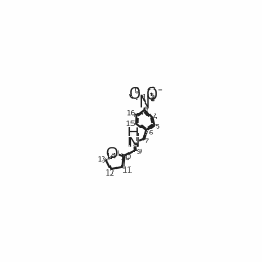 O=[N+]([O-])c1ccc(CNCC2CCCO2)cc1